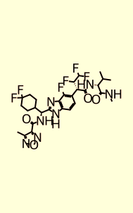 CNC(=O)[C@H](NC(=O)[C@H](c1ccc2[nH]c([C@@H](NC(=O)c3nonc3C)C3CCC(F)(F)CC3)nc2c1F)C(F)C(F)F)C(C)C